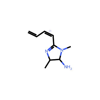 C=C/C=C\C1=NC(C)C(N)N1C